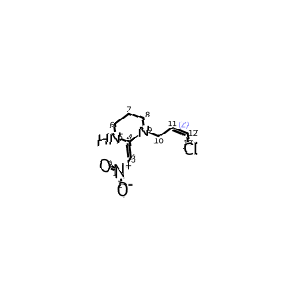 O=[N+]([O-])C=C1NCCCN1C/C=C\Cl